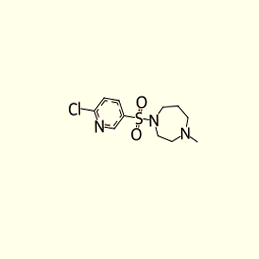 CN1CCCN(S(=O)(=O)c2ccc(Cl)nc2)CC1